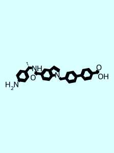 C[C@H](NC(=O)c1ccc2c(ccn2Cc2ccc(-c3ccc(C(=O)O)cc3)cc2)c1)c1ccc(N)cc1